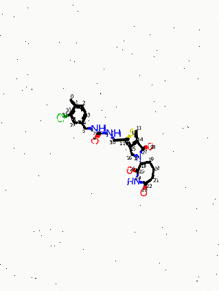 Cc1ccc(CNC(=O)NCc2scc3c2CN([C@H]2CCCC(=O)NC2=O)C3=O)cc1Cl